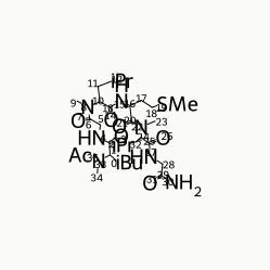 CCC(C)C(C(=O)NCC(=O)N(C)C(CC(C)C)C(=O)NC(CCSC)C(=O)N(C)C(C(=O)NCC(N)=O)C(C)C)N(C)C(C)=O